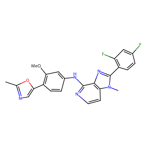 COc1cc(Nc2nccc3c2nc(-c2ccc(F)cc2F)n3C)ccc1-c1cnc(C)o1